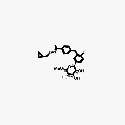 CO[C@H]1O[C@@H](c2ccc(Cl)c(Cc3ccc(C(C)=NOCC4CC4)cc3)c2)[C@H](O)[C@@H](O)[C@@H]1O